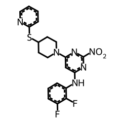 O=[N+]([O-])c1nc(Nc2cccc(F)c2F)cc(N2CCC(Sc3ccccn3)CC2)n1